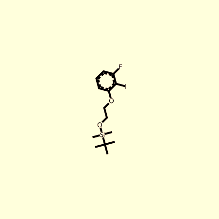 CC(C)(C)[Si](C)(C)OCCOc1cccc(F)c1I